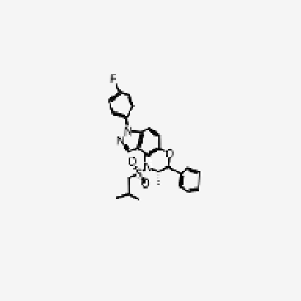 CC(C)CS(=O)(=O)N[C@@H](C)[C@@H](Oc1ccc2c(cnn2-c2ccc(F)cc2)c1)c1ccccc1